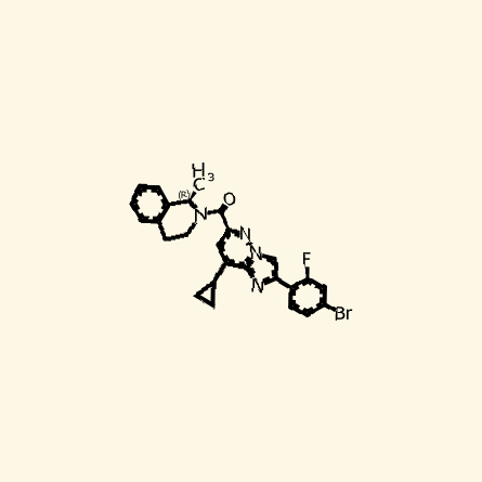 C[C@@H]1c2ccccc2CCN1C(=O)c1cc(C2CC2)c2nc(-c3ccc(Br)cc3F)cn2n1